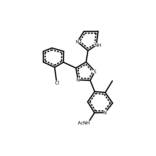 CC(=O)Nc1cc(-c2nc(-c3ccccc3Cl)c(-c3ncc[nH]3)s2)c(C)cn1